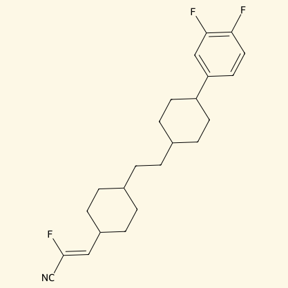 N#CC(F)=CC1CCC(CCC2CCC(c3ccc(F)c(F)c3)CC2)CC1